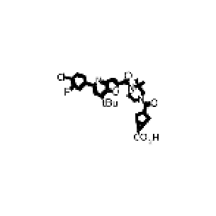 CC(C)(C)c1cc(-c2ccc(Cl)c(F)c2)nc2cc(C(=O)N3CCN(C(=O)C4CC5C(C4)C5C(=O)O)CC3(C)C)oc12